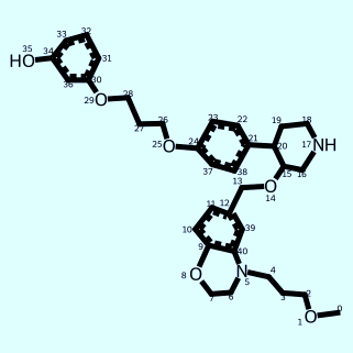 COCCCN1CCOc2ccc(COC3CNCCC3c3ccc(OCCCOc4cccc(O)c4)cc3)cc21